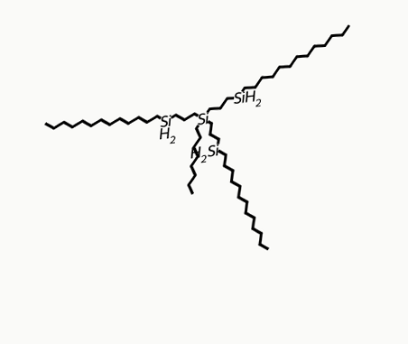 CCCCCCCCCCCCC[SiH2]CCC[Si](CCCCCCCC)(CCC[SiH2]CCCCCCCCCCCCC)CCC[SiH2]CCCCCCCCCCCCC